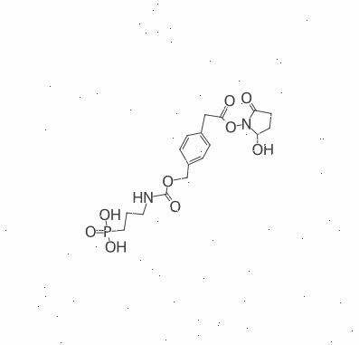 O=C(Cc1ccc(COC(=O)NCCCP(=O)(O)O)cc1)ON1C(=O)CCC1O